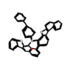 c1ccc(-c2ccc(N(c3cccc4c3oc3ccccc34)c3c(-c4ccccc4)ccc4c3oc3ccc5ccccc5c34)cc2)cc1